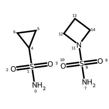 NS(=O)(=O)C1CC1.NS(=O)(=O)N1CCC1